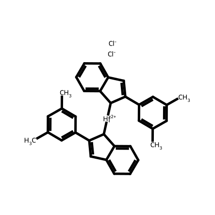 Cc1cc(C)cc(C2=Cc3ccccc3[CH]2[Hf+2][CH]2C(c3cc(C)cc(C)c3)=Cc3ccccc32)c1.[Cl-].[Cl-]